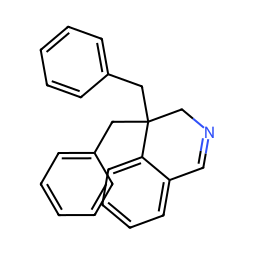 C1=NCC(Cc2ccccc2)(Cc2ccccc2)c2ccccc21